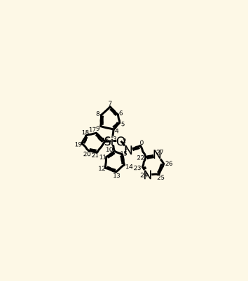 C(=N\O[Si](c1ccccc1)(c1ccccc1)c1ccccc1)/c1cnccn1